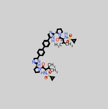 CC(C)[C@@H](NS(=O)(=O)C1CC1)C(=O)N1CCC[C@H]1C1=NCC(c2ccc(-c3ccc(-c4cnc([C@@H]5CCCN5C(=O)[C@H](NS(=O)(=O)C5CC5)C(C)C)[nH]4)cc3)cc2)N1